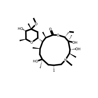 CC[C@H]1OC(=O)[C@H](C)C([C@H]2C[C@@](C)(OC)[C@@H](O)[C@H](C)O2)[C@H](C)C[C@](C)(O)C[C@@H](C)CN(C)[C@H](C)[C@@H](O)[C@]1(C)O